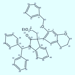 CCOC(=O)CC1(c2cc3c(cc2OCc2ccccc2)OCCC3)C(=O)N(C(c2ccccc2)c2ccccc2)c2ccccc21